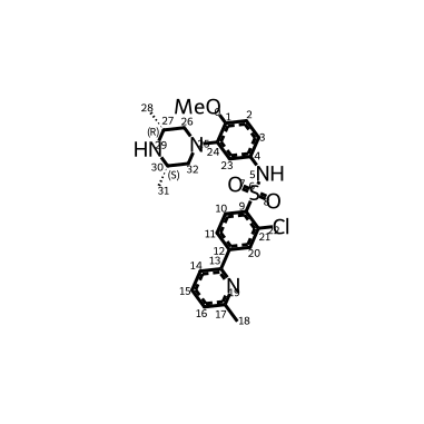 COc1ccc(NS(=O)(=O)c2ccc(-c3cccc(C)n3)cc2Cl)cc1N1C[C@@H](C)N[C@@H](C)C1